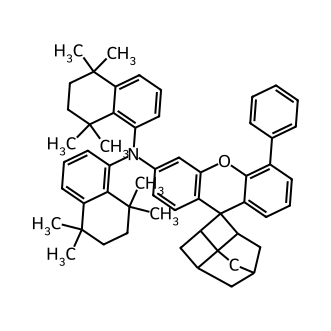 CC1(C)CCC(C)(C)c2c(N(c3ccc4c(c3)Oc3c(-c5ccccc5)cccc3C43C4CC5CC6CC3C64C5)c3cccc4c3C(C)(C)CCC4(C)C)cccc21